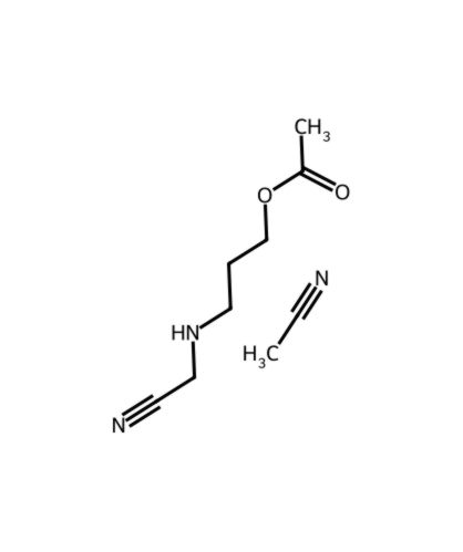 CC#N.CC(=O)OCCCNCC#N